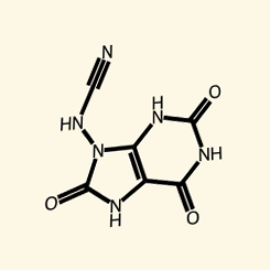 N#CNn1c(=O)[nH]c2c(=O)[nH]c(=O)[nH]c21